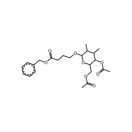 CC(=O)OCC1OC(OCCCC(=O)OCc2ccccc2)C(C)C(C)C1OC(C)=O